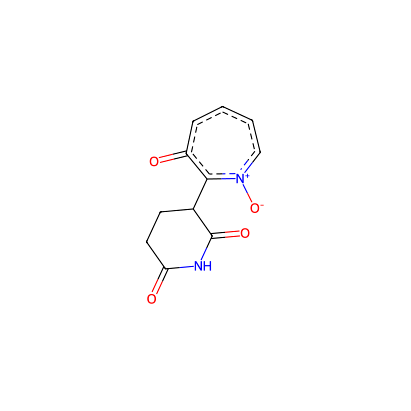 O=C1CCC(c2c(=O)cccc[n+]2[O-])C(=O)N1